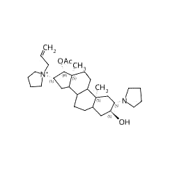 C=CC[N+]1([C@H]2CC3C4CCC5C[C@H](O)[C@@H](N6CCCC6)C[C@]5(C)C4CC[C@]3(C)[C@H]2OC(C)=O)CCCC1